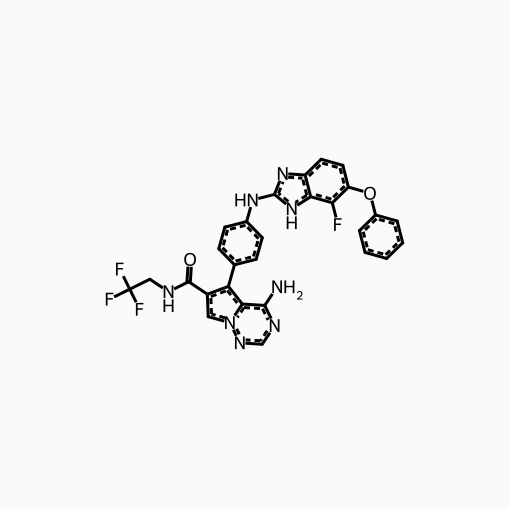 Nc1ncnn2cc(C(=O)NCC(F)(F)F)c(-c3ccc(Nc4nc5ccc(Oc6ccccc6)c(F)c5[nH]4)cc3)c12